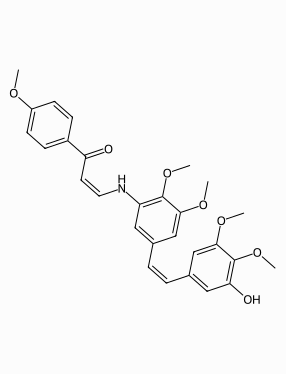 COc1ccc(C(=O)/C=C\Nc2cc(/C=C\c3cc(O)c(OC)c(OC)c3)cc(OC)c2OC)cc1